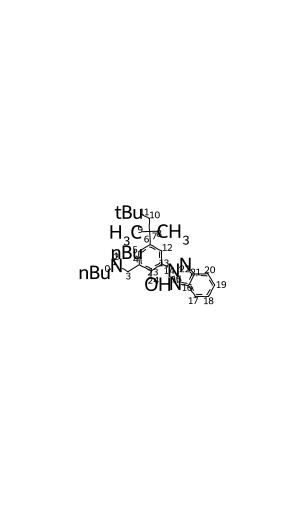 CCCCN(CCCC)Cc1cc(C(C)(C)CC(C)(C)C)cc(-n2nc3ccccc3n2)c1O